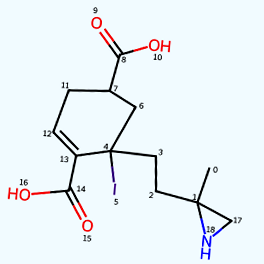 CC1(CCC2(I)CC(C(=O)O)CC=C2C(=O)O)CN1